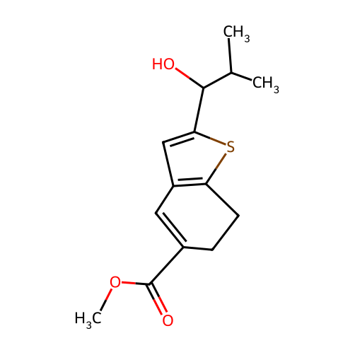 COC(=O)C1=Cc2cc(C(O)C(C)C)sc2CC1